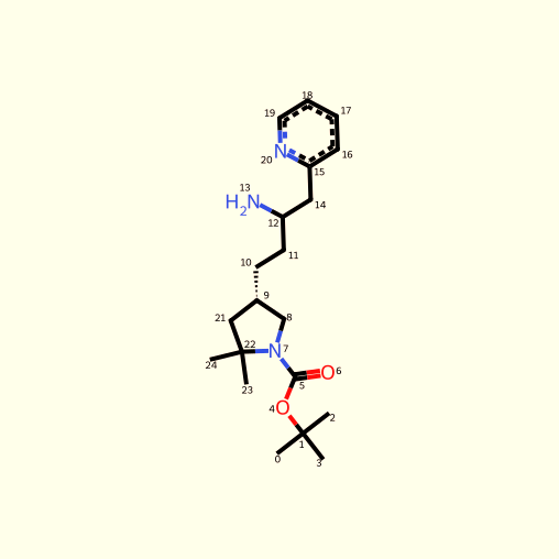 CC(C)(C)OC(=O)N1C[C@@H](CCC(N)Cc2ccccn2)CC1(C)C